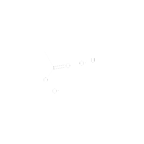 CC(=O)[O-].[O-2].[O-2].[U+5]